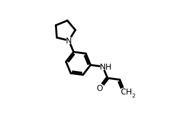 C=CC(=O)Nc1cccc(N2CCCC2)c1